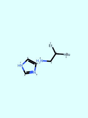 CCCCC(CC)CN.c1c[nH]cn1